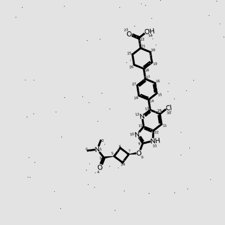 CN(C)C(=O)[C@H]1C[C@@H](Oc2nc3nc(-c4ccc(C5=CCC(C(=O)O)CC5)cc4)c(Cl)cc3[nH]2)C1